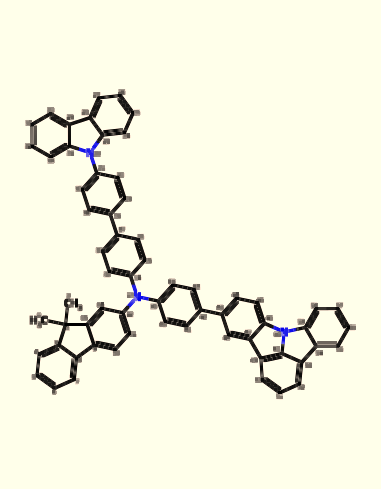 CC1(C)c2ccccc2-c2ccc(N(c3ccc(-c4ccc(-n5c6ccccc6c6ccccc65)cc4)cc3)c3ccc(-c4ccc5c(c4)c4cccc6c7ccccc7n5c64)cc3)cc21